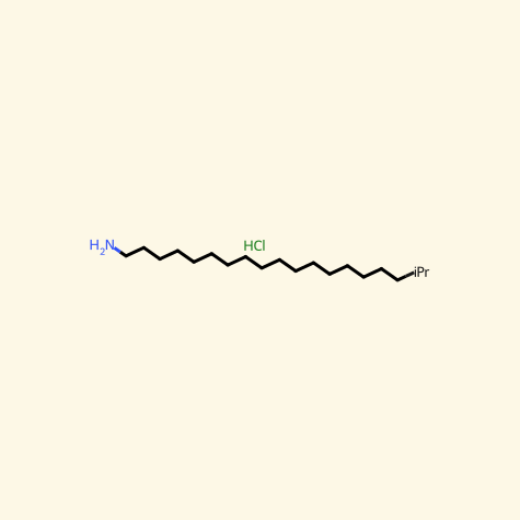 CC(C)CCCCCCCCCCCCCCCCCN.Cl